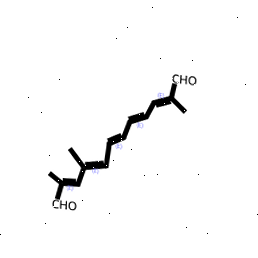 C\C(C=O)=C/C=C/C=C/C=C(C)/C=C(\C)C=O